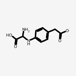 NC(Nc1ccc(CC([O])=O)cc1)C(=O)O